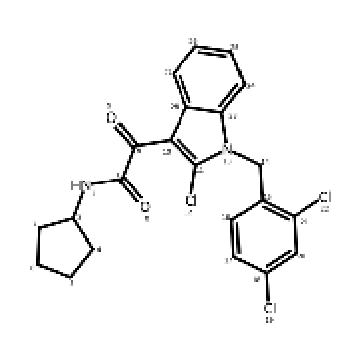 O=C(NC1CCCC1)C(=O)c1c(Cl)n(Cc2ccc(Cl)cc2Cl)c2ccccc12